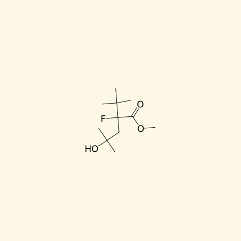 COC(=O)C(F)(CC(C)(C)O)C(C)(C)C